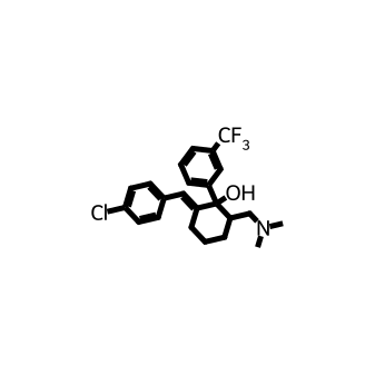 CN(C)CC1CCCC(=Cc2ccc(Cl)cc2)C1(O)c1cccc(C(F)(F)F)c1